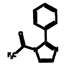 O=C(n1ccnc1-c1ccccc1)C(F)(F)F